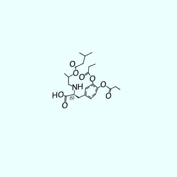 CCC(=O)Oc1ccc(C[C@H](NCC(C)OC(=O)CC(C)C)C(=O)O)cc1OC(=O)CC